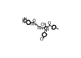 Cc1ccc(C(=O)c2nn(-c3ccc(Cl)cc3)c(NCCCNC(=O)c3ccc4nsnc4c3)c2C#N)cc1